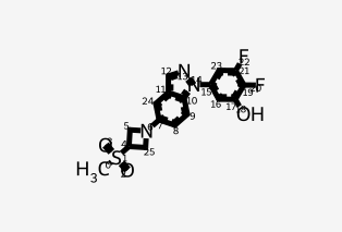 CS(=O)(=O)C1CN(c2ccc3c(cnn3-c3cc(O)c(F)c(F)c3)c2)C1